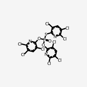 O=P(Oc1nc(Cl)c(Cl)cc1Cl)(Oc1nc(Cl)c(Cl)cc1Cl)Sc1nc(Cl)c(Cl)cc1Cl